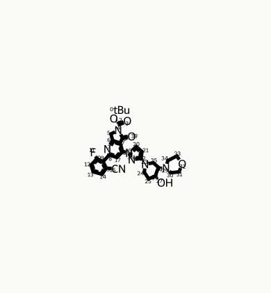 CC(C)(C)OC(=O)N1Cc2nc(-c3c(F)cccc3C#N)cc(-n3ccc(N4CC[C@@H](O)[C@@H](N5CCOCC5)C4)n3)c2C1=O